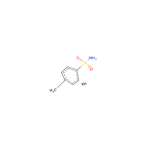 Cc1ccc(S(N)(=O)=O)cc1.[KH]